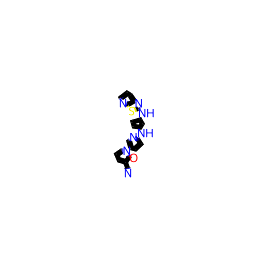 N#Cc1cccn(-c2ccc(N[C@H]3CC[C@H](Nc4nc5cccnc5s4)C3)nc2)c1=O